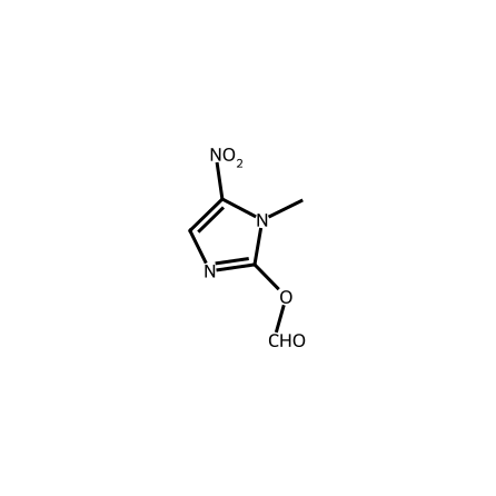 Cn1c([N+](=O)[O-])cnc1OC=O